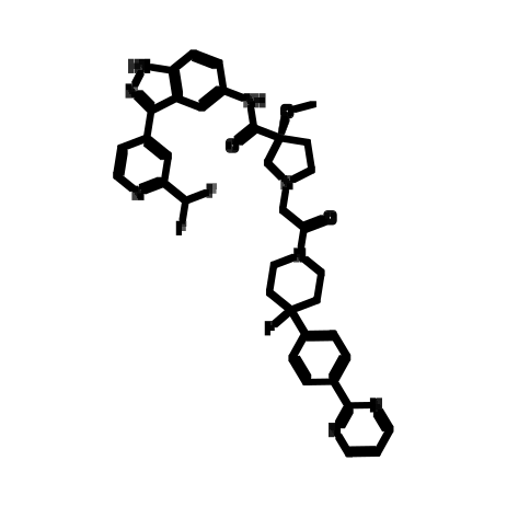 CO[C@@]1(C(=O)Nc2ccc3[nH]nc(-c4ccnc(C(F)F)c4)c3c2)CCN(CC(=O)N2CCC(F)(c3ccc(-c4ncccn4)cc3)CC2)C1